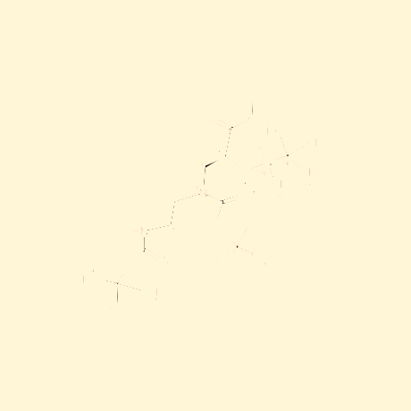 COC(=O)[C@H](CN(CCNC(=O)OC(C)(C)C)C(=O)OC(C)(C)C)O[Si](C)(C)C(C)(C)C